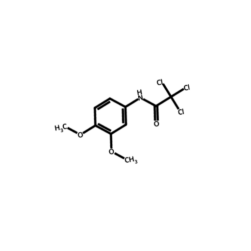 COc1ccc(NC(=O)C(Cl)(Cl)Cl)cc1OC